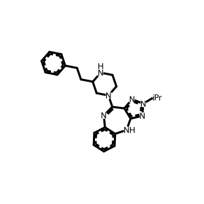 CC(C)n1nc2c(n1)C(N1CCNC(CCc3ccccc3)C1)=Nc1ccccc1N2